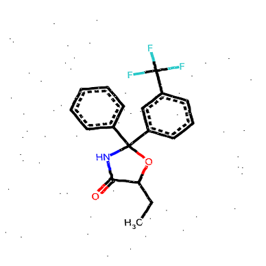 CCC1OC(c2ccccc2)(c2cccc(C(F)(F)F)c2)NC1=O